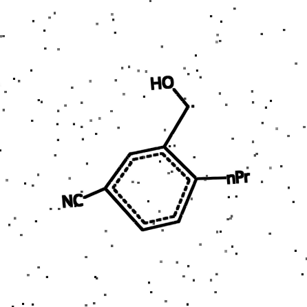 CCCc1ccc(C#N)cc1[CH]O